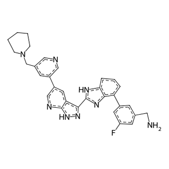 NCc1cc(F)cc(-c2cccc3[nH]c(-c4n[nH]c5ncc(-c6cncc(CN7CCCCC7)c6)cc45)nc23)c1